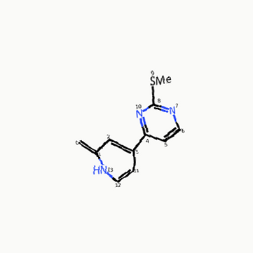 C=C1C=C(c2ccnc(SC)n2)C=CN1